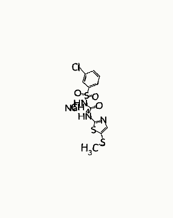 C.CSc1cnc(NC(=O)NS(=O)(=O)c2cccc(Cl)c2)s1.[Na]